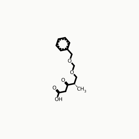 C[C@@H](COCOCc1ccccc1)C(=O)CC(=O)O